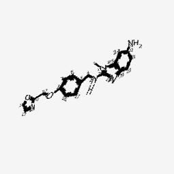 Cn1c(NCc2ccc(OCc3ncco3)cc2)nc2ccc(N)cc21